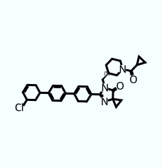 O=C(C1CC1)N1CCC[C@H](CN2C(=O)C3(CC3)N=C2C2=CC=C(c3ccc(C4CC=CC(Cl)C4)cc3)CC2)C1